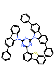 c1ccc(-c2ccc3c4ccccc4n(-c4nc(-c5cccc6c5sc5ccccc56)nc(-n5c6cc(-c7ccccc7)ccc6c6ccc(-c7ccccc7)cc65)n4)c3c2)cc1